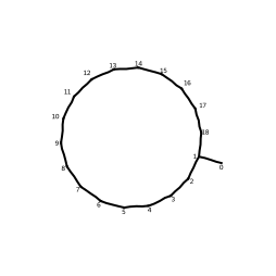 CC1CCCCCCCCCCCCCCCCC1